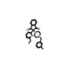 CCc1cccc(C2(N3CCN(Cc4cccc(C)c4)CC3)C(=O)c3ccccc3C2=O)n1